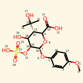 COc1ccc(O[C@@H]2OC(C(=O)O)[C@@H](C(C)(C)O)C(O)[C@@H]2OS(=O)(=O)O)cc1